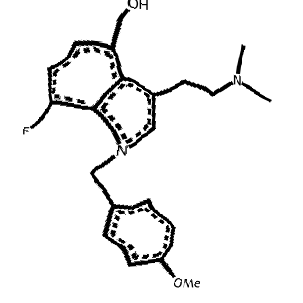 COc1ccc(Cn2cc(CCN(C)C)c3c(O)ccc(F)c32)cc1